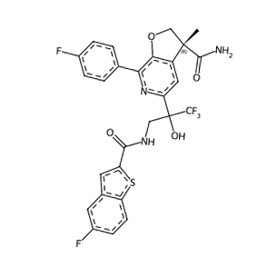 C[C@]1(C(N)=O)COc2c1cc(C(O)(CNC(=O)c1cc3cc(F)ccc3s1)C(F)(F)F)nc2-c1ccc(F)cc1